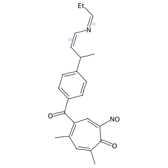 CC/C=N\C=C/C(C)c1ccc(C(=O)c2cc(N=O)c(=O)c(C)cc2C)cc1